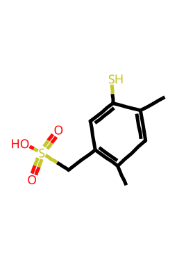 Cc1cc(C)c(CS(=O)(=O)O)cc1S